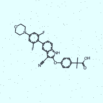 CC(C)(C(=O)O)c1ccc(Oc2[nH]c3ccc(-c4c(F)cc(N5CCOCC5)cc4F)cc3c2C#N)cc1